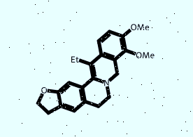 CCC1=C2c3cc4c(cc3CCN2Cc2c1ccc(OC)c2OC)CCO4